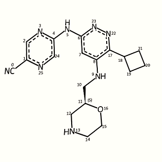 N#Cc1cnc(Nc2cc(NC[C@@H]3CNCCO3)c(C3CCC3)nn2)cn1